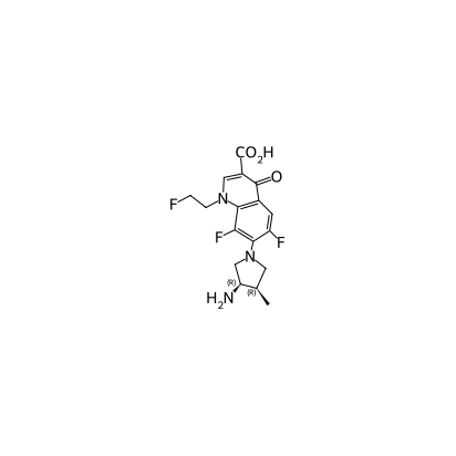 C[C@@H]1CN(c2c(F)cc3c(=O)c(C(=O)O)cn(CCF)c3c2F)C[C@@H]1N